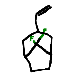 C=CC1CC2CCC(C1)C2(F)F